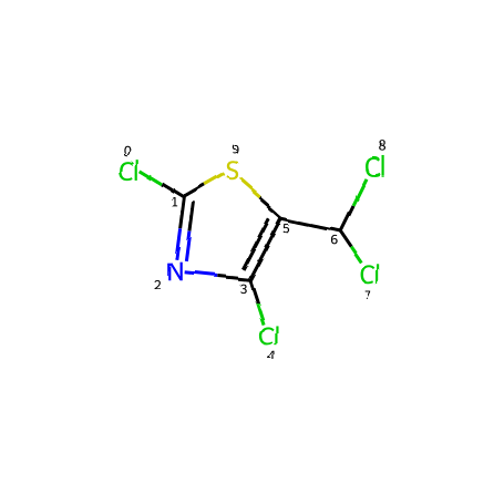 Clc1nc(Cl)c(C(Cl)Cl)s1